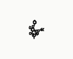 C=C1C[C@H]2C(=O)N(COCC[Si](C)(C)C)c3cc(OCc4ccccc4)c(OC)cc3C(=O)N2C1